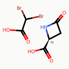 O=C(O)C(Br)Br.O=C1C[C@@H](C(=O)O)N1